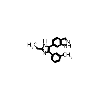 CCc1nc(-c2cccc(C)c2)c(-c2ccc3cn[nH]c3c2)[nH]1